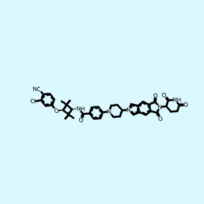 CC1(C)[C@H](NC(=O)c2ccc(N3CCC(n4cc5cc6c(cc5c4)C(=O)N(C4CCC(=O)NC4=O)C6=O)CC3)cc2)C(C)(C)[C@H]1Oc1ccc(C#N)c(Cl)c1